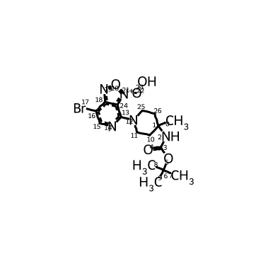 CC1(NC(=O)OC(C)(C)C)CCN(c2ncc(Br)c3no[n+](OO)c23)CC1